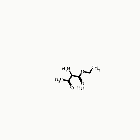 CCOC(=O)C(N)C(C)=O.Cl